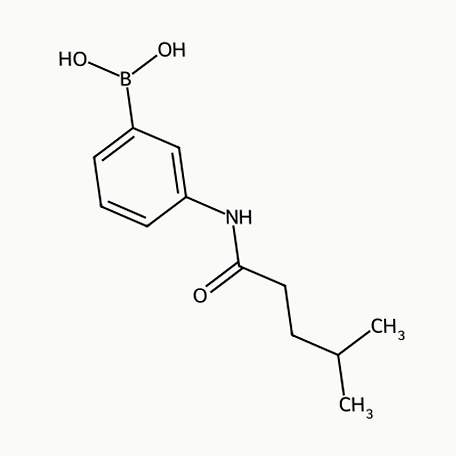 CC(C)CCC(=O)Nc1cccc(B(O)O)c1